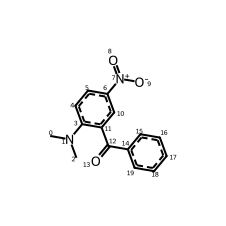 CN(C)c1ccc([N+](=O)[O-])cc1C(=O)c1ccccc1